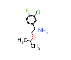 CC(C)OC[C@@H](N)c1ccc(F)c(Cl)c1